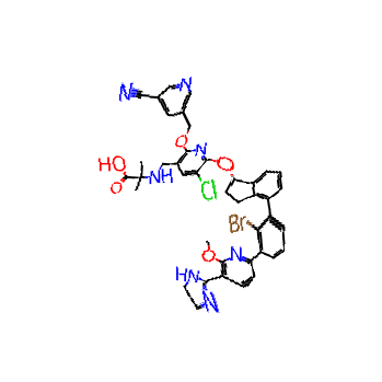 COc1nc(-c2cccc(-c3cccc4c3CC[C@@H]4Oc3nc(OCc4cncc(C#N)c4)c(CNC(C)(C)C(=O)O)cc3Cl)c2Br)ccc1C1=NCCN1